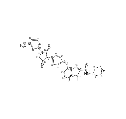 O=C(NC1CCOCC1)c1cc2c(Oc3ccc(N4C(=O)CN(c5cccc(C(F)(F)F)c5)C4=O)cc3)ccnc2[nH]1